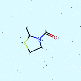 CC1SCCN1C=O